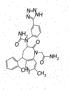 Cc1ccc2c(c1)N(CC(N)=O)C(=O)C(N(C(N)=O)c1cccc(-c3nnn[nH]3)c1)CC2c1ccccc1C